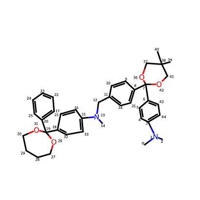 CN(C)c1ccc(C2(c3ccc(CN(C)c4ccc(C5(c6ccccc6)OCCCCO5)cc4)cc3)OCC(C)(C)CO2)cc1